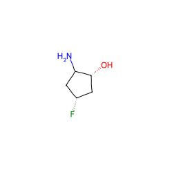 NC1C[C@@H](F)C[C@H]1O